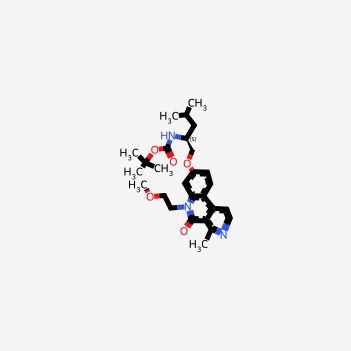 COCCn1c(=O)c2c(C)nccc2c2ccc(OC[C@H](CC(C)C)NC(=O)OC(C)(C)C)cc21